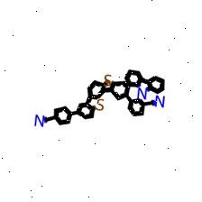 N#Cc1ccc(-c2ccc3sc4c(ccc5sc6ccc(-c7cccc(C#N)c7-n7c8ccccc8c8ccccc87)cc6c54)c3c2)cc1